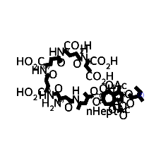 C/C=C(/C)C(=O)O[C@H]1C(C)=C2[C@H]([C@@H]1OC(=O)CCCCCCC)[C@@H](OC(C)=O)C[C@H](OC(=O)C(C)CC(C)NC(=O)C[C@H](N)C(=O)N[C@@H](CCC(=O)N[C@@H](CCC(=O)N[C@@H](CCC(=O)N[C@@H](CCC(=O)O)C(=O)O)C(=O)O)C(=O)O)C(=O)O)[C@@](C)(O)[C@H]2OC(C)=O